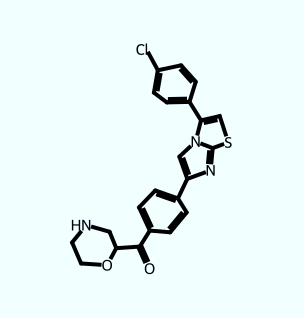 O=C(c1ccc(-c2cn3c(-c4ccc(Cl)cc4)csc3n2)cc1)C1CNCCO1